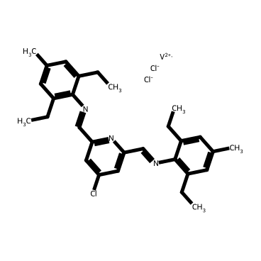 CCc1cc(C)cc(CC)c1N=Cc1cc(Cl)cc(C=Nc2c(CC)cc(C)cc2CC)n1.[Cl-].[Cl-].[V+2]